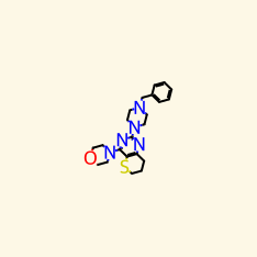 c1ccc(CN2CCN(c3nc4c(c(N5CCOCC5)n3)SCCC4)CC2)cc1